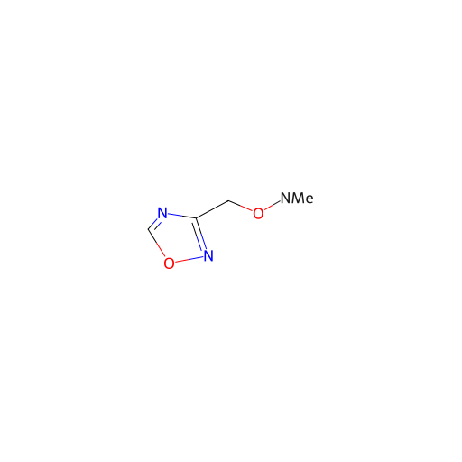 CNOCc1ncon1